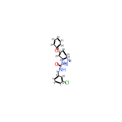 O=C(NCc1cccc(Cl)c1)n1nnc2ccc(Oc3ccccc3)cc21